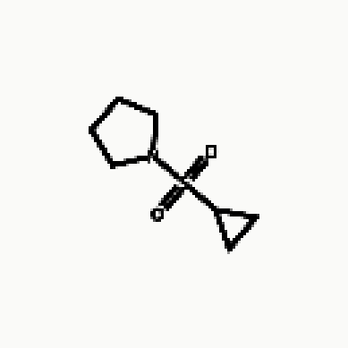 O=S(=O)(C1CC1)N1CCCC1